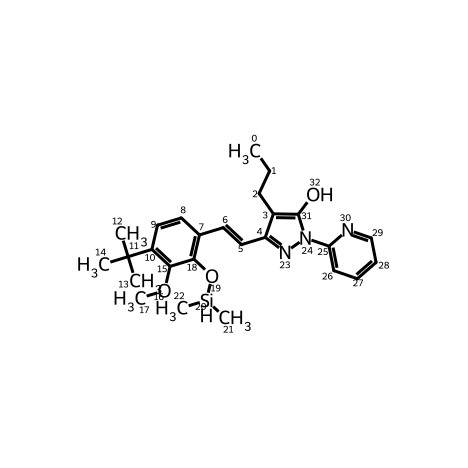 CCCc1c(C=Cc2ccc(C(C)(C)C)c(OC)c2O[SiH](C)C)nn(-c2ccccn2)c1O